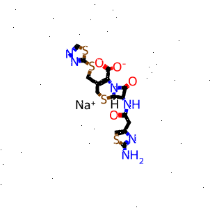 Nc1nc(CC(=O)NC2C(=O)N3C(C(=O)[O-])=C(CSc4nncs4)CS[C@H]23)cs1.[Na+]